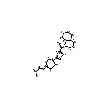 CC(C)CCN1CCC(c2nc(C(=O)N3CCCC4CCCCC43)cs2)CC1